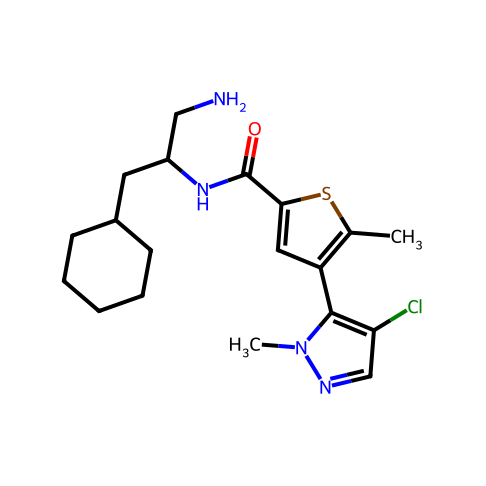 Cc1sc(C(=O)NC(CN)CC2CCCCC2)cc1-c1c(Cl)cnn1C